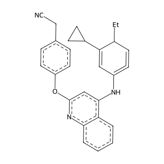 CCC1C=C=C(Nc2cc(Oc3ccc(CC#N)cc3)nc3ccccc23)C=C1C1CC1